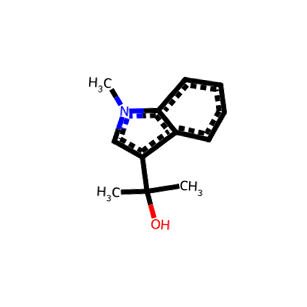 Cn1cc(C(C)(C)O)c2ccccc21